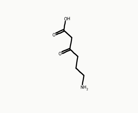 NCCCC(=O)CC(=O)O